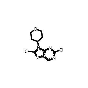 Clc1ncc2nc(Cl)n(C3CCOCC3)c2n1